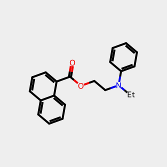 CCN(CCOC(=O)c1cccc2ccccc12)c1ccccc1